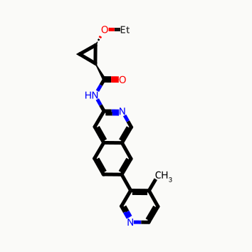 CCO[C@H]1C[C@@H]1C(=O)Nc1cc2ccc(-c3cnccc3C)cc2cn1